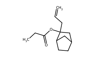 C=CCC1(OC(=O)CC)CC2CCC1C2